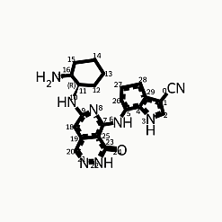 N#Cc1c[nH]c2c(Nc3nc(N[C@@H]4CCCCC4N)cc4cn[nH]c(=O)c34)cccc12